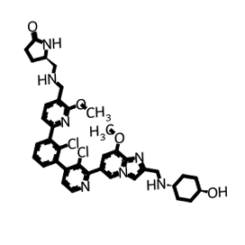 COc1nc(-c2cccc(-c3ccnc(-c4cc(OC)c5nc(CN[C@H]6CC[C@H](O)CC6)cn5c4)c3Cl)c2Cl)ccc1CNC[C@H]1CCC(=O)N1